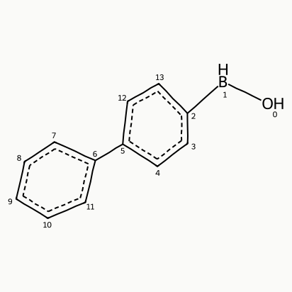 OBc1ccc(-c2ccccc2)cc1